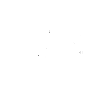 CC1=C(C(=O)O)C(c2ccccc2C(F)(F)F)n2[nH]c(=O)cc2N1